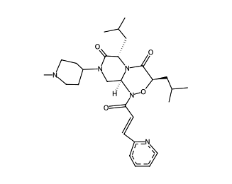 CC(C)C[C@H]1ON(C(=O)/C=C/c2ccccn2)[C@H]2CN(C3CCN(C)CC3)C(=O)[C@H](CC(C)C)N2C1=O